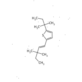 CCC(C)(C)C=Cc1ccc(C(C)(C)CC)s1